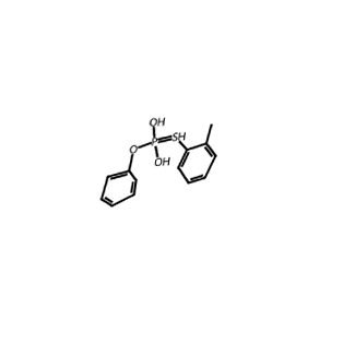 Cc1ccccc1[SH]=P(O)(O)Oc1ccccc1